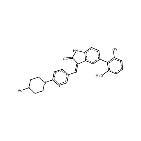 CCCc1cccc(OC)c1-c1ccc2c(c1)/C(=C/c1ccc(N3CCN(C(C)=O)CC3)nc1)C(=O)N2